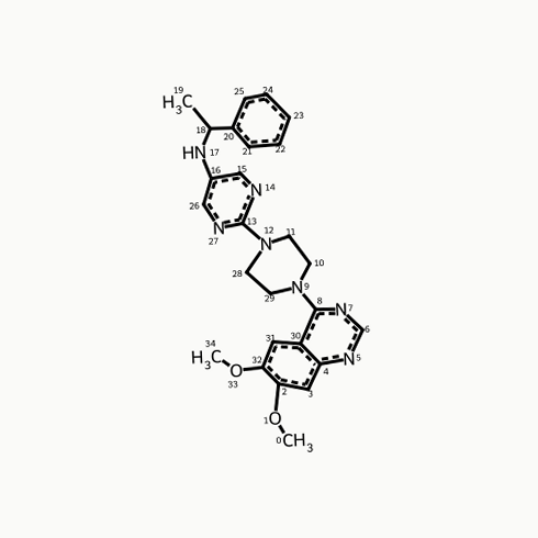 COc1cc2ncnc(N3CCN(c4ncc(NC(C)c5ccccc5)cn4)CC3)c2cc1OC